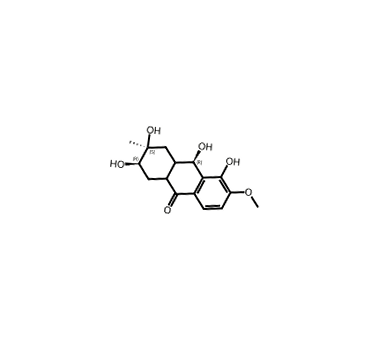 COc1ccc2c(c1O)[C@H](O)C1C[C@](C)(O)[C@H](O)CC1C2=O